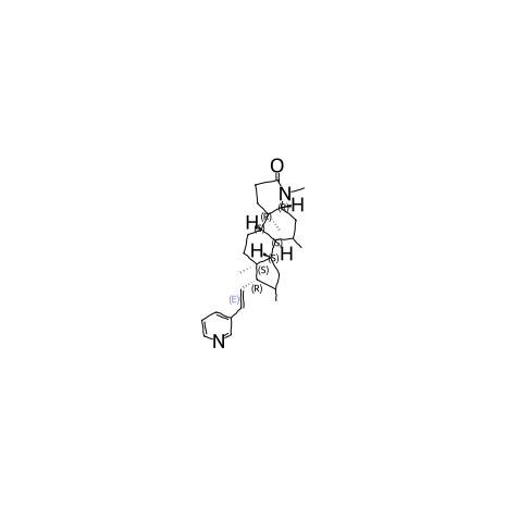 CC1C[C@H]2N(C)C(=O)CC[C@]2(C)[C@H]2CC[C@]3(C)[C@@H](/C=C/c4cccnc4)C(C)C[C@H]3[C@H]12